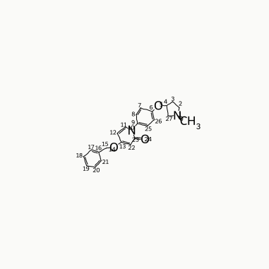 CN1CCC(Oc2ccc(-n3ccc(OCc4ccccc4)cc3=O)cc2)C1